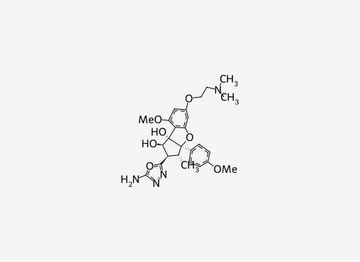 COc1ccc([C@@]23Oc4cc(OCCN(C)C)cc(OC)c4[C@]2(O)[C@H](O)[C@H](c2nnc(N)o2)[C@H]3C)cc1